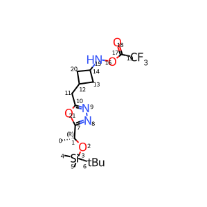 C[C@@H](O[Si](C)(C)C(C)(C)C)c1nnc(CC2CC(NOC(=O)C(F)(F)F)C2)o1